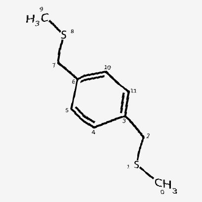 CSCc1ccc(CSC)cc1